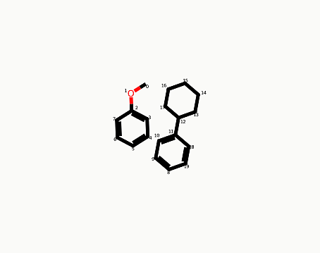 COc1ccccc1.c1ccc(C2CCCCC2)cc1